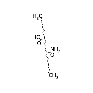 CCCCCCCCC(CCCCC(CCCCCCCC)C(=O)O)C(N)=O